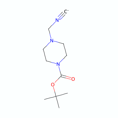 [C-]#[N+]CN1CCN(C(=O)OC(C)(C)C)CC1